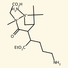 CCOC(=O)C(CCCN)C1C(=O)[N+](C)(CC(=O)O)[N+]2(N)CC1C2(C)C